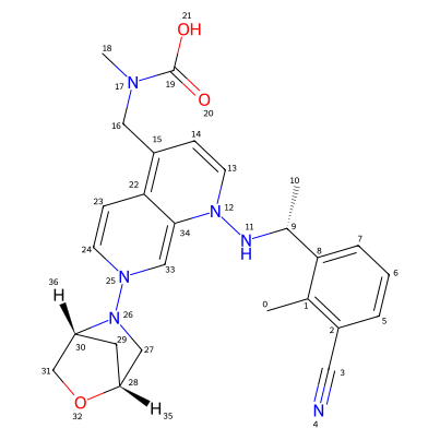 Cc1c(C#N)cccc1[C@@H](C)NN1C=CC(CN(C)C(=O)O)=C2C=CN(N3C[C@H]4C[C@@H]3CO4)C=C21